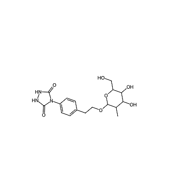 CC1C(OCCc2ccc(-n3c(=O)[nH][nH]c3=O)cc2)OC(CO)C(O)C1O